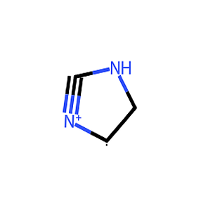 C1#[N+][CH]CN1